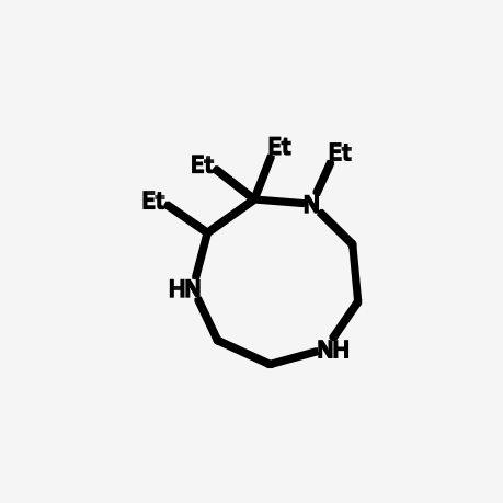 CCC1NCCNCCN(CC)C1(CC)CC